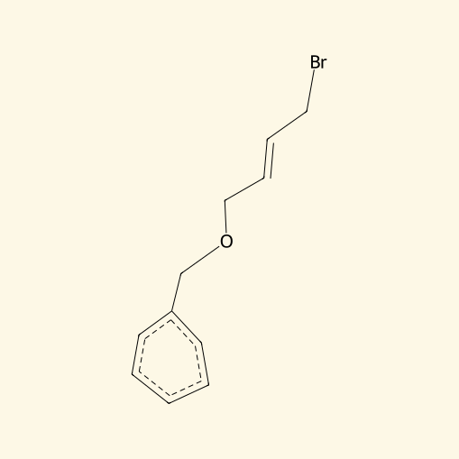 BrCC=CCOCc1ccccc1